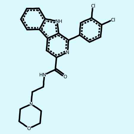 O=C(NCCN1CCOCC1)c1cc2c([nH]c3ccccc32)c(-c2ccc(Cl)c(Cl)c2)n1